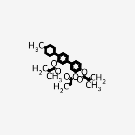 C=CC(=O)Oc1cc(-c2ccc(C3CCC(C)CC3)c(OC(=O)C(=C)C)c2)ccc1OC(=O)C(=C)C